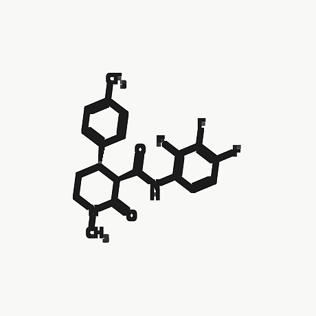 CN1CC[C@H](c2ccc(C(F)(F)F)cc2)[C@@H](C(=O)Nc2ccc(F)c(F)c2F)C1=O